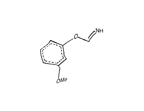 COc1cccc(OC=N)c1